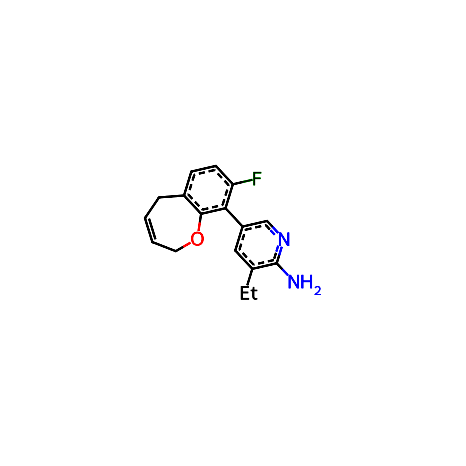 CCc1cc(-c2c(F)ccc3c2OCC=CC3)cnc1N